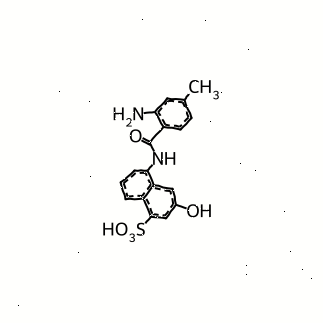 Cc1ccc(C(=O)Nc2cccc3c(S(=O)(=O)O)cc(O)cc23)c(N)c1